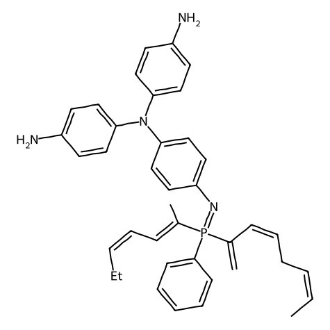 C=C(/C=C\C/C=C\C)P(=Nc1ccc(N(c2ccc(N)cc2)c2ccc(N)cc2)cc1)(/C(C)=C/C=C\CC)c1ccccc1